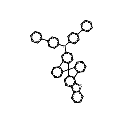 c1ccc(-c2ccc(N(c3ccc(-c4ccccc4)cc3)c3ccc4c(c3)-c3ccccc3C43c4ccccc4-c4c3ccc3c4sc4ccccc43)cc2)cc1